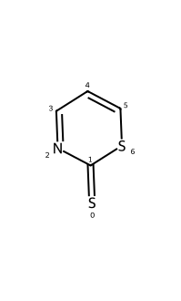 S=c1ncccs1